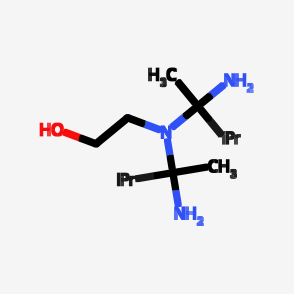 CC(C)C(C)(N)N(CCO)C(C)(N)C(C)C